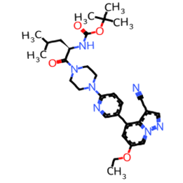 CCOc1cc(-c2ccc(N3CCN(C(=O)[C@@H](CC(C)C)NC(=O)OC(C)(C)C)CC3)nc2)c2c(C#N)cnn2c1